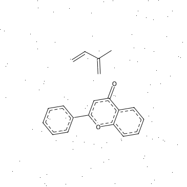 C=CC(=C)C.O=c1cc(-c2ccccc2)oc2ccccc12